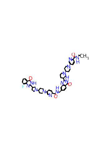 CCNC(=O)c1ccc(N2CCC(N3CCCC(c4nc5cc(CNC(=O)c6ccc(N7CCC(N8CCC(c9nc%10c(F)cccc%10c(=O)[nH]9)C8)CC7)cn6)ccc5c(=O)[nH]4)C3)CC2)cn1